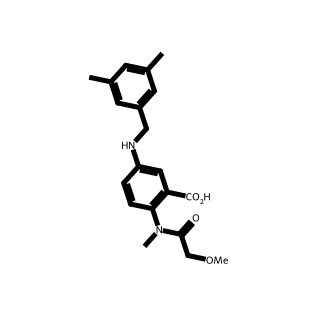 COCC(=O)N(C)c1ccc(NCc2cc(C)cc(C)c2)cc1C(=O)O